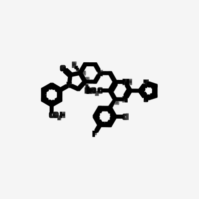 CCOC(=O)C1=C(CN2CC[C@]3(F)C(=O)N(c4cccc(C(=O)O)c4)C[C@@H]3C2)NC(c2nccs2)=N[C@H]1c1ccc(F)cc1Cl